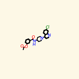 CC(=O)Oc1cccc(C(=O)NC2CCN(c3ccnc4cc(Cl)ccc34)CC2)c1